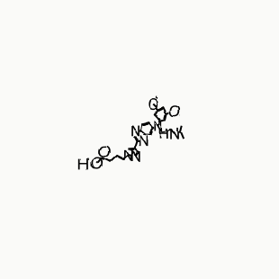 COc1cc(OC)cc(N(CCNC(C)C)c2ccc3ncc(-c4cnn(CCCC(=O)O)c4)nc3c2)c1